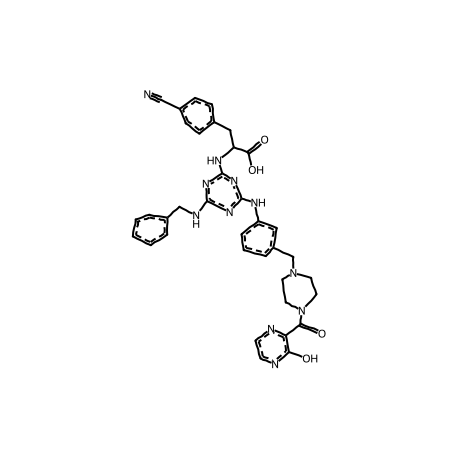 N#Cc1ccc(CC(Nc2nc(NCc3ccccc3)nc(Nc3cccc(CN4CCN(C(=O)c5nccnc5O)CC4)c3)n2)C(=O)O)cc1